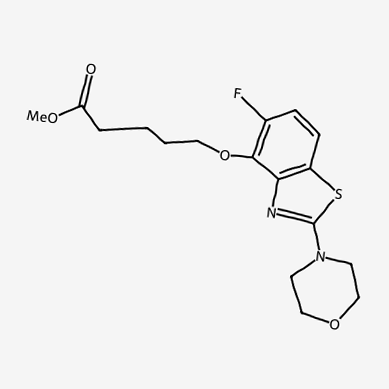 COC(=O)CCCCOc1c(F)ccc2sc(N3CCOCC3)nc12